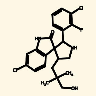 CC(C)(CO)CC1CNC(c2cccc(Cl)c2F)C12C(=O)Nc1cc(Cl)ccc12